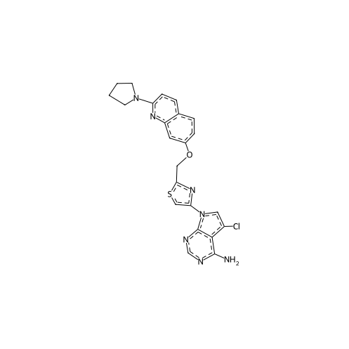 Nc1ncnc2c1c(Cl)cn2-c1csc(COc2ccc3ccc(N4CCCC4)nc3c2)n1